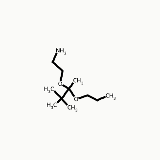 CCCOC(C)(OCCN)C(C)(C)C